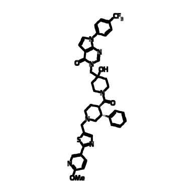 COc1ccc(-c2ncc(CN3CC[C@@H](C(=O)N4CCC(O)(Cn5cnc6c(ccn6-c6ccc(C(F)(F)F)cc6)c5=O)CC4)[C@H](c4ccccc4)C3)s2)cn1